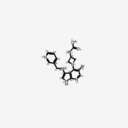 O=C(O)NC1CN(c2c(Br)cnc3[nH]cc(NCc4cccnc4)c23)C1